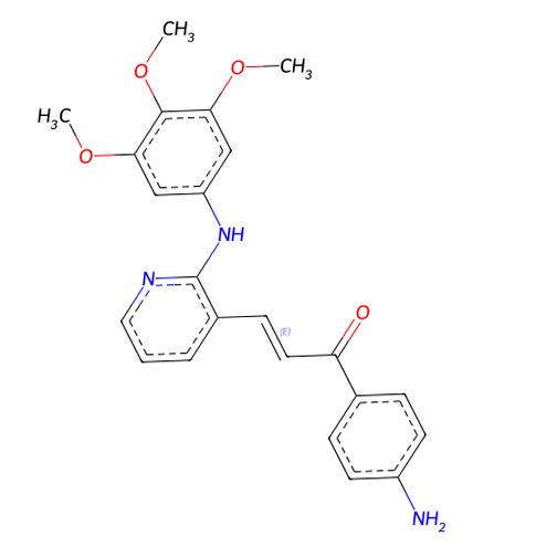 COc1cc(Nc2ncccc2/C=C/C(=O)c2ccc(N)cc2)cc(OC)c1OC